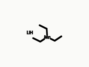 C[CH2][Mn]([CH2]C)[CH2]C.[LiH]